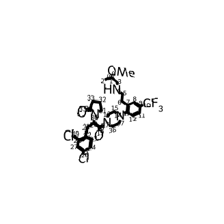 CO[C@@H](C)CNCCc1cc(C(F)(F)F)ccc1N1CCN(C(=O)C(Cc2ccc(Cl)cc2Cl)N2CCCC2=O)CC1